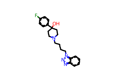 OC1(c2ccc(F)cc2)CCN(CCCCn2nnc3ccccc32)CC1